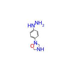 NNc1ccc(N2CNCO2)cc1